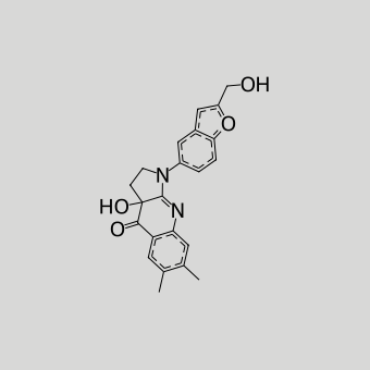 Cc1cc2c(cc1C)C(=O)C1(O)CCN(c3ccc4oc(CO)cc4c3)C1=N2